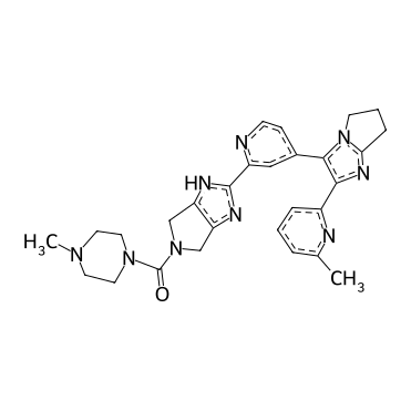 Cc1cccc(-c2nc3n(c2-c2ccnc(-c4nc5c([nH]4)CN(C(=O)N4CCN(C)CC4)C5)c2)CCC3)n1